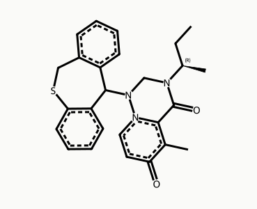 CC[C@@H](C)N1CN(C2c3ccccc3CSc3ccccc32)n2ccc(=O)c(C)c2C1=O